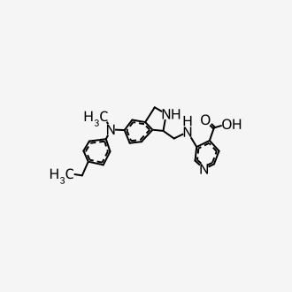 CCc1ccc(N(C)c2ccc3c(c2)CNC3CNc2cnccc2C(=O)O)cc1